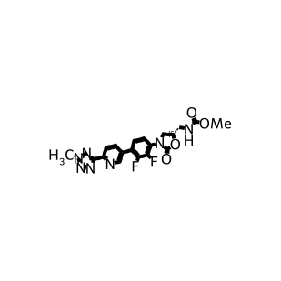 COC(=O)NC[C@H]1CN(c2ccc(-c3ccc(-c4nnn(C)n4)nc3)c(F)c2F)C(=O)O1